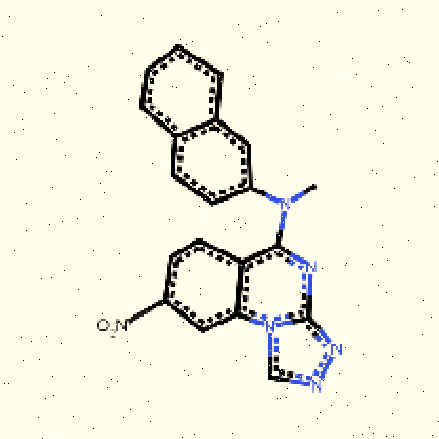 CN(c1ccc2ccccc2c1)c1nc2nncn2c2cc([N+](=O)[O-])ccc12